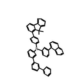 CC1(C)c2ccccc2-c2cccc(-c3ccc(N(c4cccc(-c5cccc(-c6ccccc6)c5)c4)c4cccc(-c5cccc6ccccc56)c4)cc3)c21